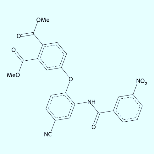 COC(=O)c1ccc(Oc2ccc(C#N)cc2NC(=O)c2cccc([N+](=O)[O-])c2)cc1C(=O)OC